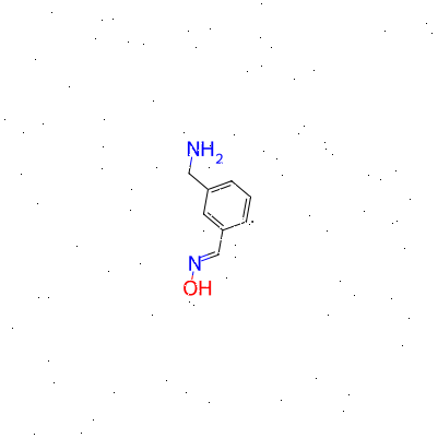 NCc1cc[c]c(C=NO)c1